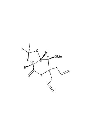 C=CCC1(CC=C)OC(=O)[C@@H]2OC(C)(C)O[C@@H]2[C@H]1OC